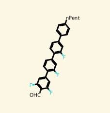 CCCCCc1ccc(-c2ccc(-c3ccc(-c4cc(F)c(C=O)c(F)c4)c(F)c3)c(F)c2)cc1